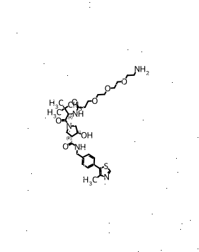 Cc1ncsc1-c1ccc(CNC(=O)[C@@H]2CN(C(=O)[C@H](NC(=O)CCOCCOCCOCCN)C(C)(C)C)C[C@H]2O)cc1